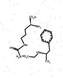 CC(Cc1ccccc1)NCC(=O)O.N=C(N)NCCC[C@H](N)C(=O)O